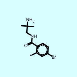 CC(C)(N)CNC(=O)c1ccc(Br)cc1F